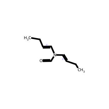 CC/C=C/N([C]=O)/C=C/CC